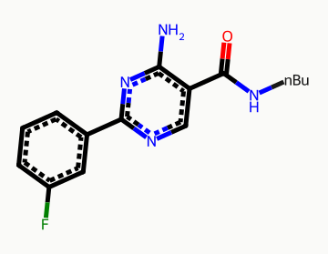 CCCCNC(=O)c1cnc(-c2cccc(F)c2)nc1N